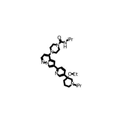 CCO[C@@]1(c2ccc(-c3cc4c(N5CCN(C(=O)NC(C)C)CC5)ccnn4c3)nc2)CCCN(C(C)C)C1